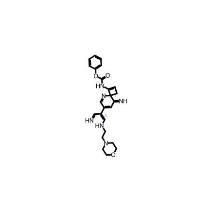 N=C/C(=C\NCCN1CCOCC1)C1=CC(=N)C2(CC=C2NC(=O)Oc2ccccc2)N=C1